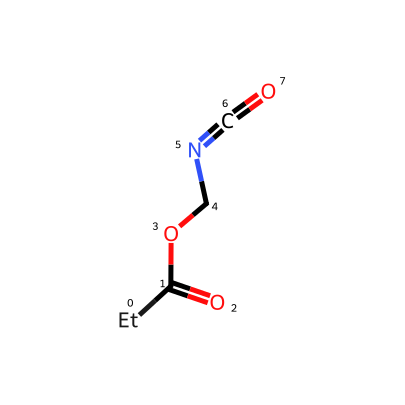 CCC(=O)OCN=C=O